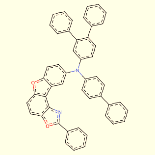 c1ccc(-c2ccc(N(c3ccc(-c4ccccc4)c(-c4ccccc4)c3)c3ccc4oc5ccc6oc(-c7ccccc7)nc6c5c4c3)cc2)cc1